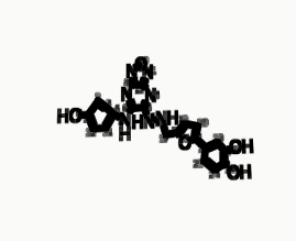 Oc1ccc(Nc2nc3nonc3nc2NNCc2ccc(-c3ccc(O)c(O)c3)o2)cc1